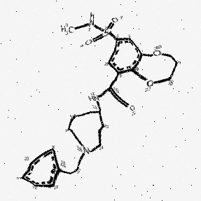 CNS(=O)(=O)c1cc2c(c(C(=O)NC3CCN(Cc4ccccc4)CC3)c1)OCCO2